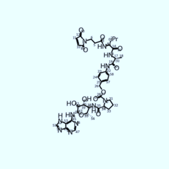 CC(C)[C@H](NC(=O)CCN1C(=O)C=CC1=O)C(=O)N[C@@H](C)C(=O)Nc1ccc(COC(=O)N2CCC[C@H]2C(=O)N[C@@H]2[C@@H](O)[C@H](O)[C@@H](Nc3ncnc4nc[nH]c34)O[C@H]2C)cc1